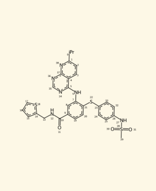 CC(C)c1ccc2c(Nc3cc(C(=O)NCc4cccs4)ccc3Sc3ccc(NS(C)(=O)=O)cc3)ncnc2n1